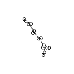 O=C(CCCCCOC(=O)CCCCCOC(=O)C1CC2OC2CC1CC1CCC2OC2C1)OCCCCCC(=O)OCC1CCC2OC2C1